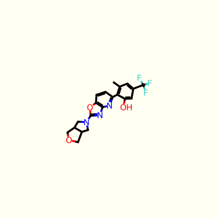 Cc1cc(C(F)(F)F)cc(O)c1-c1ccc2oc(N3CC4COCC4C3)nc2n1